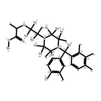 [2H]OC(=O)C(C)OC([2H])([2H])C([2H])(C)N1C([2H])([2H])C([2H])(C)N(C([2H])(c2ccc(Cl)c(C)c2)c2ccc(C)c(C)c2C)C([2H])(C)C1([2H])[2H]